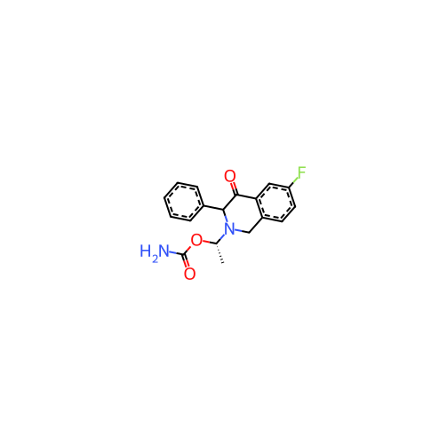 C[C@H](OC(N)=O)N1Cc2ccc(F)cc2C(=O)C1c1ccccc1